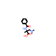 CN(C)CC(C)(NC(=O)c1ccccc1)C(=O)O